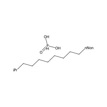 CCCCCCCCCCCCCCCCCC(C)C.O=[PH](O)O